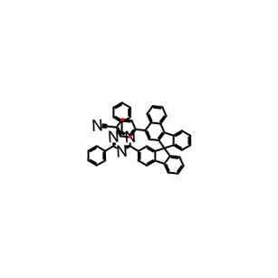 N#Cc1ccc(-c2cc3c(c4ccccc24)-c2ccccc2C32c3ccccc3-c3ccc(-c4nc(-c5ccccc5)nc(-c5ccccc5)n4)cc32)cc1